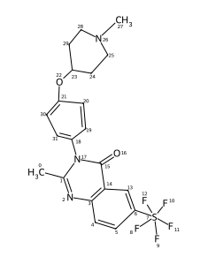 Cc1nc2ccc(S(F)(F)(F)(F)F)cc2c(=O)n1-c1ccc(OC2CCN(C)CC2)cc1